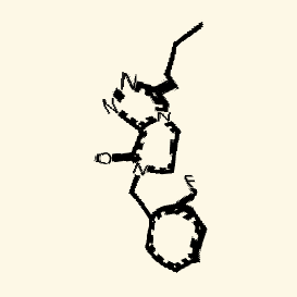 CCCc1nnc2c(=O)n(Cc3ccccc3F)ccn12